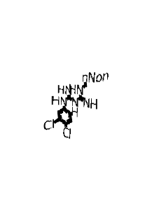 CCCCCCCCCCNC(=N)NC(=N)Nc1ccc(Cl)c(Cl)c1